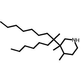 CCCCCCCC(C)(CCCCCC)C1(C)CNCCC1C